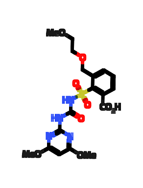 COCCOCc1cccc(C(=O)O)c1S(=O)(=O)NC(=O)Nc1nc(OC)cc(OC)n1